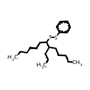 CCCCCCC(SSc1ccccc1)C(CCC)CCCCC